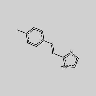 Cc1ccc(C=Cc2ncc[nH]2)cc1